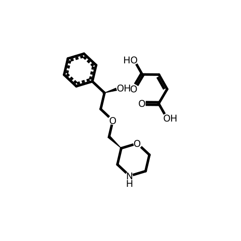 O=C(O)/C=C\C(=O)O.O[C@@H](COC[C@@H]1CNCCO1)c1ccccc1